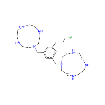 FCCCc1cc(CN2CCNCCNCCNCC2)cc(CN2CCNCCNCCNCC2)c1